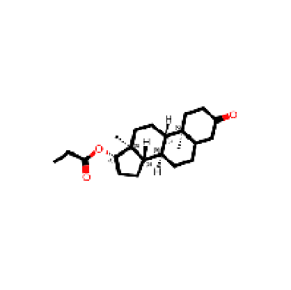 CCC(=O)O[C@H]1CC[C@H]2[C@@H]3CCC4CC(=O)CC[C@]4(C)[C@H]3CC[C@]12C